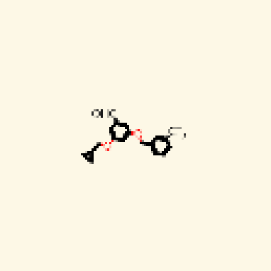 O=Cc1cc(OCc2cccc(C(F)(F)F)c2)cc(OCC2CC2)c1